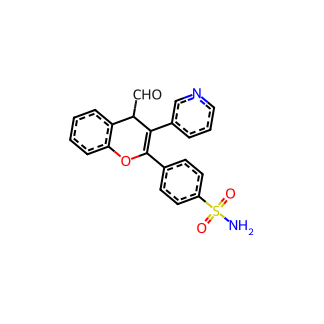 NS(=O)(=O)c1ccc(C2=C(c3cccnc3)C(C=O)c3ccccc3O2)cc1